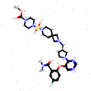 CC(C)N(C(=O)c1cc(F)ccc1Oc1cncnc1N1CC[C@@H](CN2CC3(CCN(S(=O)(=O)N4CCN(C(=O)OC(C)(C)C)CC4)CC3)C2)C1)C(C)C